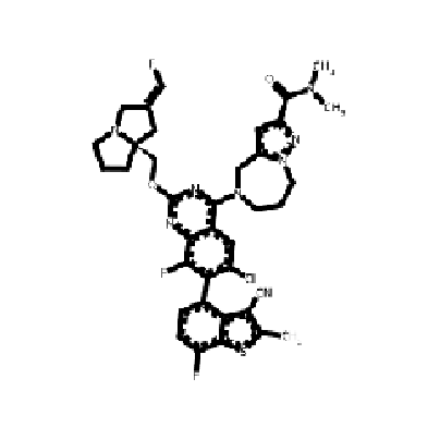 Cc1sc2c(F)ccc(-c3c(Cl)cc4c(N5CCCn6nc(C(=O)N(C)C)cc6C5)nc(OC[C@@]56CCCN5C/C(=C\F)C6)nc4c3F)c2c1C#N